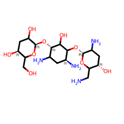 NCC1O[C@H](OC2C(O)[C@@H](O[C@H]3OC(CO)[C@@H](O)CC3O)C(N)C[C@@H]2N)C(N)C[C@@H]1O